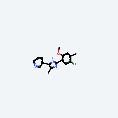 COc1cc(C)c(Cl)cc1-c1nc(C)c(-c2cccnc2)[nH]1